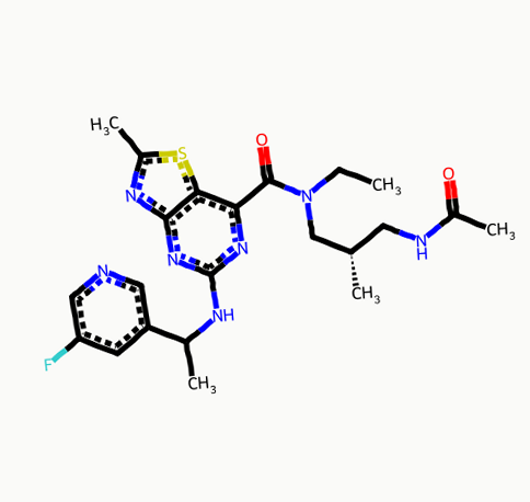 CCN(C[C@@H](C)CNC(C)=O)C(=O)c1nc(NC(C)c2cncc(F)c2)nc2nc(C)sc12